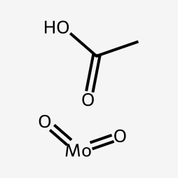 CC(=O)O.[O]=[Mo]=[O]